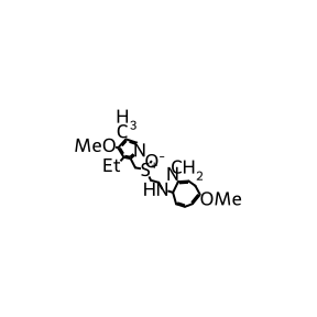 C=N/C1=C/C/C(OC)=C\C=CC1NCC[S+]([O-])Cc1ncc(C)c(OC)c1CC